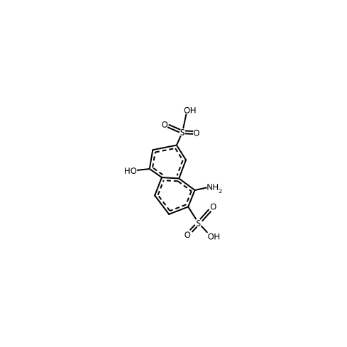 Nc1c(S(=O)(=O)O)ccc2c(O)cc(S(=O)(=O)O)cc12